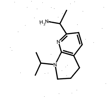 CC(N)c1ccc2c(n1)N(C(C)C)CCC2